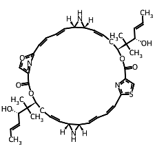 C/C=C/[C@H](O)C(C)(C)[C@@H]1C/C=C\[C@H]2N[C@H]2/C=C/C=C\c2nc(cs2)C(=O)O[C@H](C(C)(C)[C@@H](O)/C=C/C)C/C=C\[C@H]2N[C@H]2/C=C/C=C\c2nc(co2)C(=O)O1